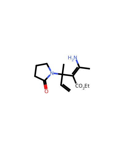 C=CC(C)(C(C(=O)OCC)=C(C)N)N1CCCC1=O